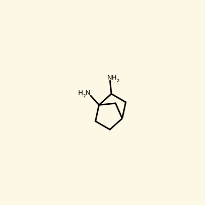 NC1CC2CCC1(N)C2